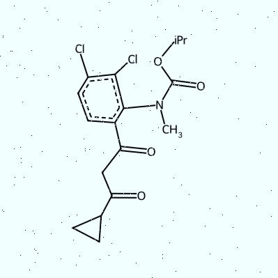 CC(C)OC(=O)N(C)c1c(C(=O)CC(=O)C2CC2)ccc(Cl)c1Cl